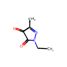 CCN1N=C(C)C(=O)C1=O